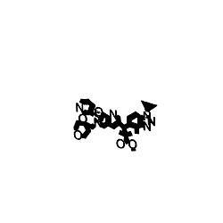 COC(=O)C(C)(C)C(c1cnc(C)c(CN2CC3(CCOCC3)Oc3ncccc3S2(=O)=O)c1)c1ccc2c(nnn2C2CC2)c1C